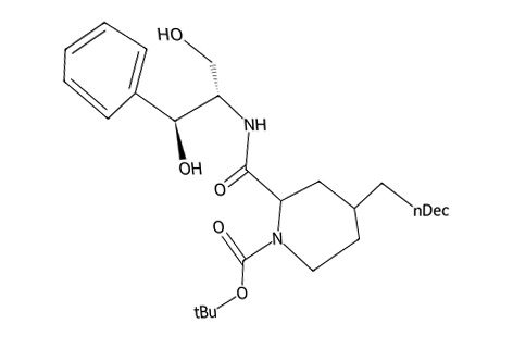 CCCCCCCCCCCC1CCN(C(=O)OC(C)(C)C)C(C(=O)N[C@@H](CO)[C@@H](O)c2ccccc2)C1